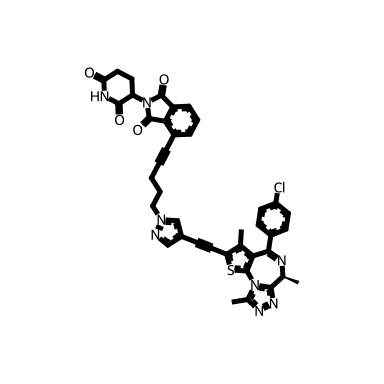 Cc1c(C#Cc2cnn(CCCC#Cc3cccc4c3C(=O)N(C3CCC(=O)NC3=O)C4=O)c2)sc2c1C(c1ccc(Cl)cc1)=N[C@@H](C)c1nnc(C)n1-2